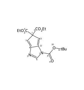 CCOC(=O)C1(C(=O)OCC)C=c2ncn(C(=O)OC(C)(C)C)c2=C1